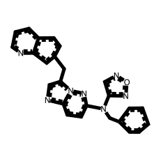 c1ccc(CN(c2cnon2)c2ccc3ncc(Cc4ccc5cccnc5c4)n3n2)cc1